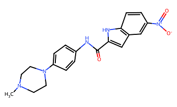 CN1CCN(c2ccc(NC(=O)c3cc4cc([N+](=O)[O-])ccc4[nH]3)cc2)CC1